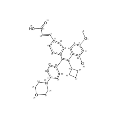 COc1ccc(/C(=C(\c2ccc(/C=C/C(=O)O)cc2)c2ccc(N3CCOCC3)cc2)C2CCC2)c(Cl)c1